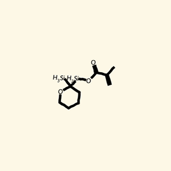 C=C(C)C(=O)O[SiH2]C1([SiH3])CCCCO1